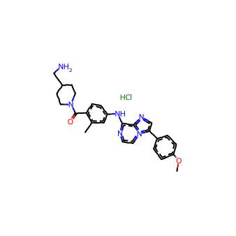 COc1ccc(-c2cnc3c(Nc4ccc(C(=O)N5CCC(CN)CC5)c(C)c4)nccn23)cc1.Cl